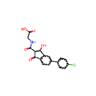 O=C(O)CNC(=O)C1C(=O)c2ccc(-c3ccc(Cl)cc3)cc2C1O